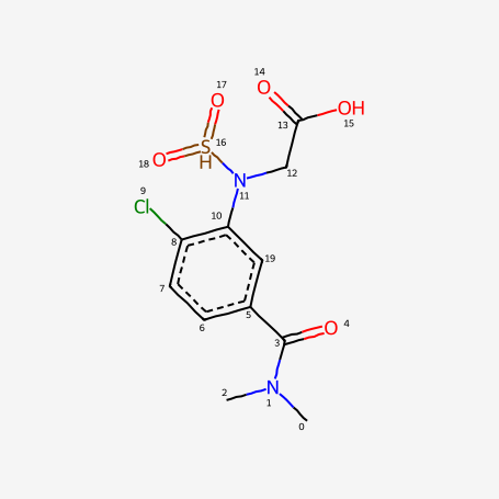 CN(C)C(=O)c1ccc(Cl)c(N(CC(=O)O)[SH](=O)=O)c1